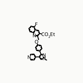 CCOC(=O)c1cc2c(F)cccc2nc1COc1ccc(-c2nn(C)cc2-c2ccncc2)cc1